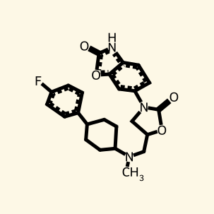 CN(CC1CN(c2ccc3[nH]c(=O)oc3c2)C(=O)O1)C1CCC(c2ccc(F)cc2)CC1